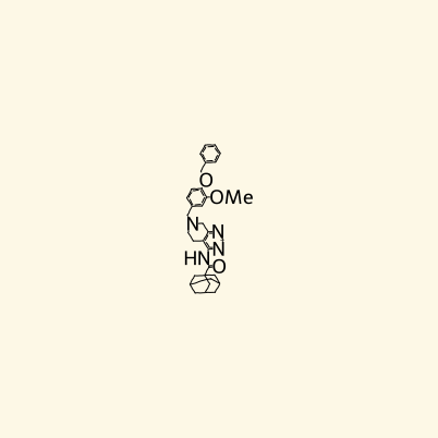 COc1cc(CN2CCc3c(ncnc3NC(=O)C34CC5CC(CC(C5)C3)C4)C2)ccc1OCc1ccccc1